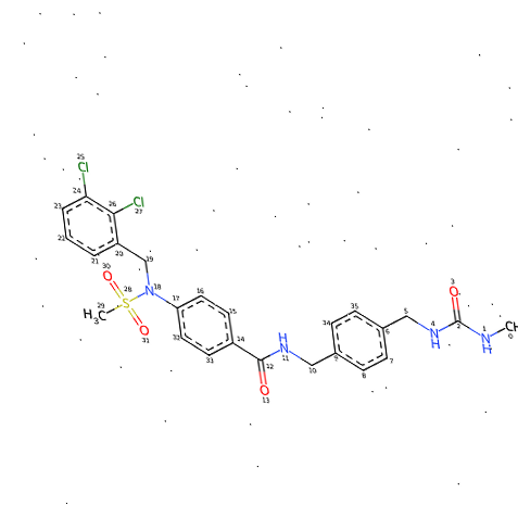 CNC(=O)NCc1ccc(CNC(=O)c2ccc(N(Cc3cccc(Cl)c3Cl)S(C)(=O)=O)cc2)cc1